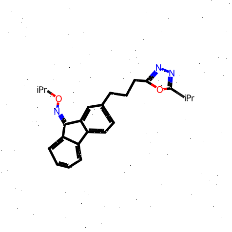 CC(C)O/N=C1/c2ccccc2-c2ccc(CCCc3nnc(C(C)C)o3)cc21